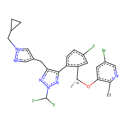 CCc1ncc(Br)cc1O[C@H](C)c1cc(F)ccc1-c1nn(C(F)F)nc1Cc1cnn(CC2CC2)c1